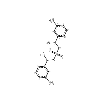 Nc1cccc(C(O)CS(=O)(=O)CC(O)c2cccc(N)c2)c1